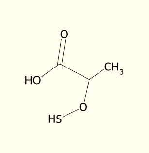 CC(OS)C(=O)O